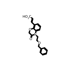 O=C(O)/C=C/c1cccc2c1OCC(=O)N2CCOCc1ccccc1